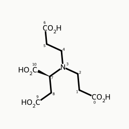 O=C(O)CCN(CCC(=O)O)[C@@H](CC(=O)O)C(=O)O